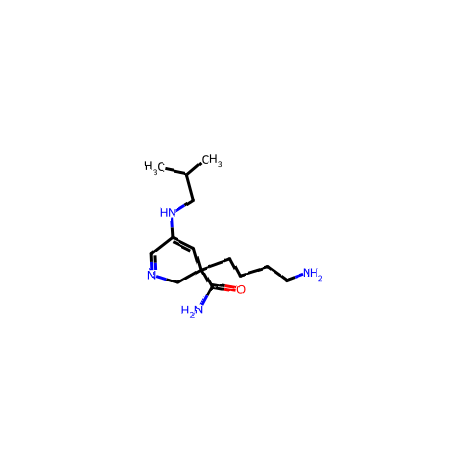 CC(C)CNC1=CC(CCCCN)(C(N)=O)CN=C1